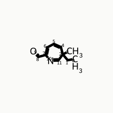 CCC1(C)C=CC=C(C=O)N=C1